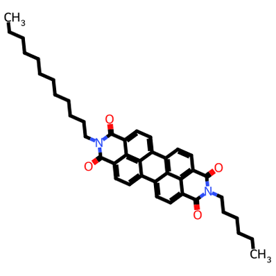 CCCCCCCCCCCCN1C(=O)c2ccc3c4ccc5c6c(ccc(c7ccc(c2c37)C1=O)c64)C(=O)N(CCCCCC)C5=O